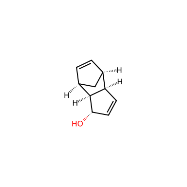 O[C@H]1C=C[C@H]2[C@@H]1[C@H]1C=C[C@@H]2C1